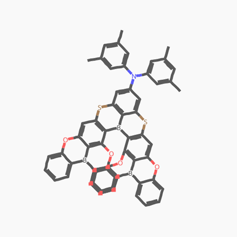 Cc1cc(C)cc(N(c2cc(C)cc(C)c2)c2cc3c4c(c2)Sc2cc5c6c(c2B4c2c(cc4c7c2Oc2ccccc2B7c2ccccc2O4)S3)Oc2ccccc2B6c2ccccc2O5)c1